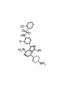 CC(C)c1nc(-c2ccc(NS(=O)(=O)c3ccccc3Cl)c(F)c2)c2c(N)ncc(C3=CCC(N)CC3)n12